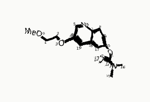 COCCOc1cnc2ccc(OC(=S)N(C)C)cc2c1